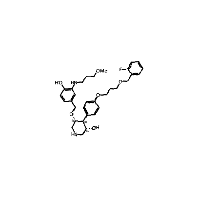 COCCCNc1cc(CO[C@H]2CNC[C@@H](O)[C@@H]2c2ccc(OCCCOCc3ccccc3F)cc2)ccc1O